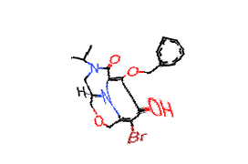 CC(C)N1C[C@@H]2COCC3=C(Br)C(O)C(OCc4ccccc4)=C(C1=O)N32